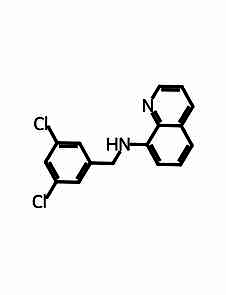 Clc1cc(Cl)cc(CNc2cccc3cccnc23)c1